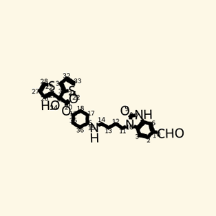 O=Cc1ccc2c(c1)[nH]c(=O)n2CCCCN[C@H]1CC[C@H](OC(=O)C(O)(c2cccs2)c2cccs2)CC1